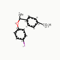 CCCC(Oc1ccc(I)cc1)c1ccc(C(=O)O)cc1